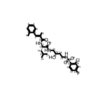 C/C(=C\c1ccccc1C)C(=O)N[C@@H](CC(C)C)C(=O)NC[C@@H](O)CCNS(=O)(=O)c1ccc(F)cc1Cl